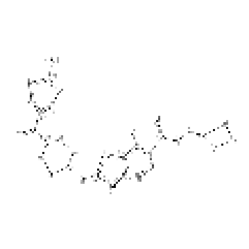 Cc1c(C(=O)NCC2CCC2)ccc2nn(CC3CCN(C(=O)c4ccc(Cl)cc4)CC3)cc12